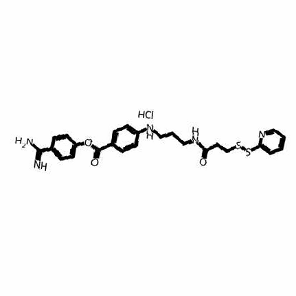 Cl.N=C(N)c1ccc(OC(=O)c2ccc(NCCCNC(=O)CCSSc3ccccn3)cc2)cc1